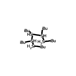 CCC(C)[SiH2][SiH](C(C)CC)[SiH](C(C)CC)[SiH]([SiH2]C(C)CC)C(C)CC